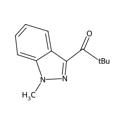 Cn1nc(C(=O)C(C)(C)C)c2ccccc21